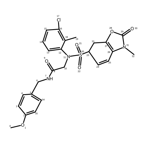 COc1ccc(CNC(=O)CN(c2cccc(Cl)c2C)S(=O)(=O)C2C=Cc3c(oc(=O)n3C)C2)cc1